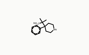 CC(C)(C(=O)O)C1(c2ccccc2)CCNCC1